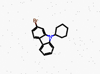 Brc1ccc2c3ccccc3n(C3CCCCC3)c2c1